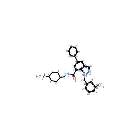 O=C(NCC1CCC(C(=O)O)CC1)c1cc(-c2ccccc2)cc2cnn(Cc3cccc(C(F)(F)F)c3)c12